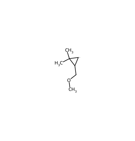 COCC1[CH]C1(C)C